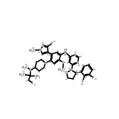 COc1cc(N2CCC(N(C)C(C)(C)CF)CC2)c(-c2cn(C)nc2F)cc1Nc1cc(N2OCC[C@@H]2c2cccc(F)c2F)ncn1